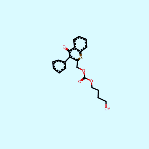 O=C(OCCCCO)OCc1sc2ccccc2c(=O)c1-c1ccccc1